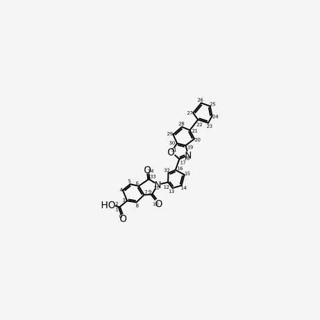 O=C(O)c1ccc2c(c1)C(=O)N(c1cccc(-c3nc4cc(-c5ccccc5)ccc4o3)c1)C2=O